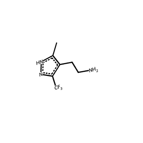 Cc1[nH]nc(C(F)(F)F)c1CCN